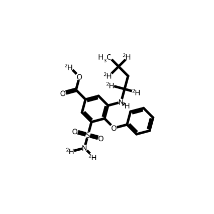 [2H]OC(=O)c1cc(N([2H])C([2H])([2H])CC([2H])([2H])C)c(Oc2ccccc2)c(S(=O)(=O)N([2H])[2H])c1